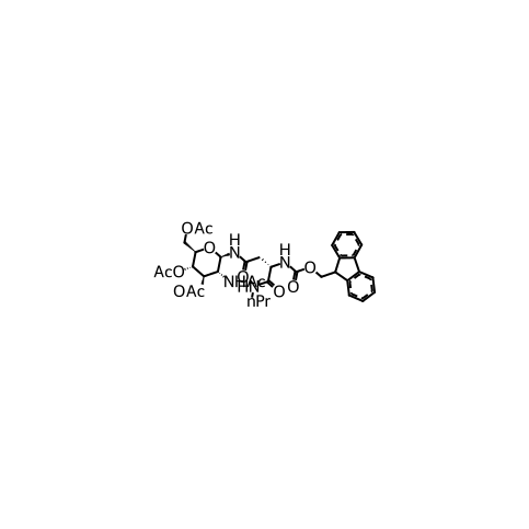 CCCNC(=O)[C@H](CC(=O)N[C@@H]1O[C@H](COC(C)=O)[C@@H](OC(C)=O)[C@H](OC(C)=O)[C@H]1NC(C)=O)NC(=O)OCC1c2ccccc2-c2ccccc21